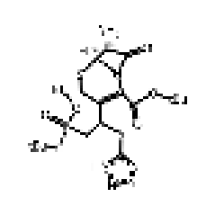 CCOP(=O)(CC(Sc1nnn[nH]1)C1=C(C(=O)OC(C)(C)C)N2C(=O)[C@@H](N)[C@@H]2SC1)OC(C)(C)C